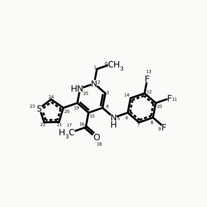 CCN1C=C(Nc2cc(F)c(F)c(F)c2)C(C(C)=O)=C(c2ccsc2)N1